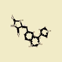 O=C1NC(=O)/C(=C\c2ccc3ncnc(-c4ccsc4)c3c2)S1